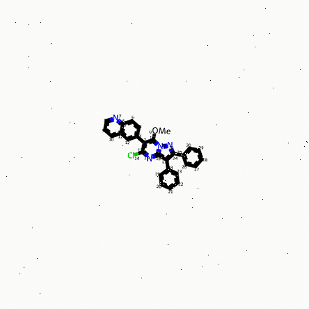 COc1c(-c2ccc3ncccc3c2)c(Cl)nc2c(-c3ccccc3)c(-c3ccccc3)nn12